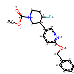 CC(C)(C)OC(=O)N1CCC(F)C(c2ccc(OCc3ccccc3)nc2)C1